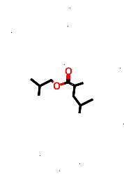 CC(C)COC(=O)C(C)CC(C)C